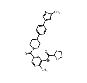 Cc1ccc(C(=O)N2CCC(c3ccc(-c4cnn(C)c4)cc3)CC2)cc1NC(=O)C1CCCO1